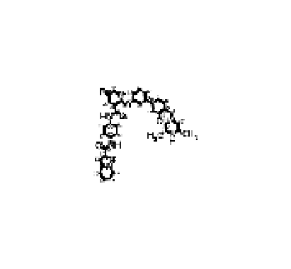 C[C@@H]1CN(Cc2ccc(-c3cccc(Oc4ncc(F)cc4C(=O)N[C@H]4CC[C@H](NC(=O)c5cc6ccccn6n5)CC4)c3)cc2O)C[C@H](C)N1